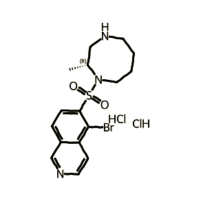 C[C@@H]1CNCCCCN1S(=O)(=O)c1ccc2cnccc2c1Br.Cl.Cl